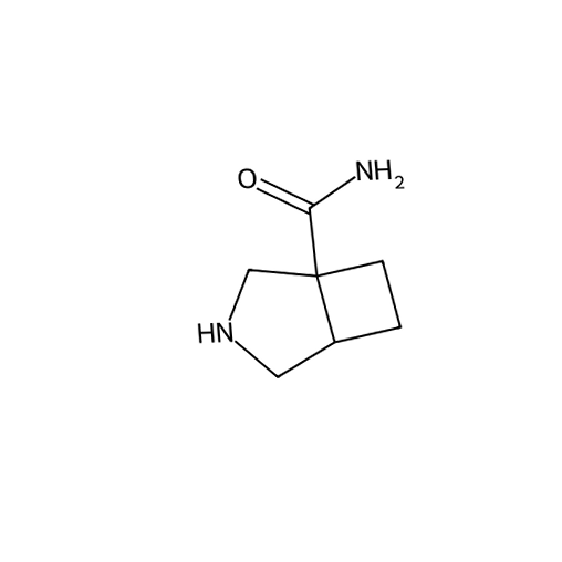 NC(=O)C12CCC1CNC2